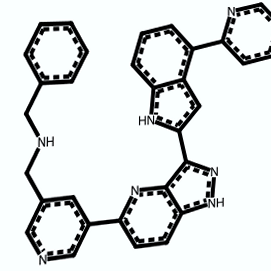 c1ccc(CNCc2cncc(-c3ccc4[nH]nc(-c5cc6c(-c7ccccn7)cccc6[nH]5)c4n3)c2)cc1